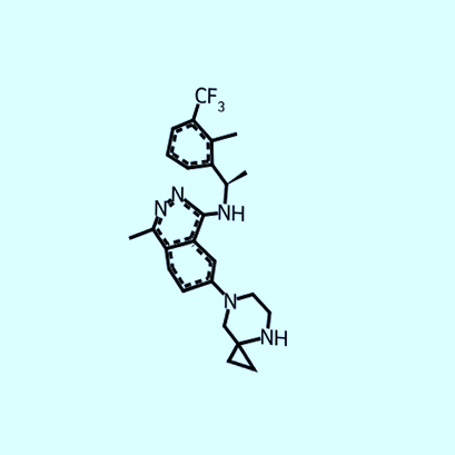 Cc1c([C@@H](C)Nc2nnc(C)c3ccc(N4CCNC5(CC5)C4)cc23)cccc1C(F)(F)F